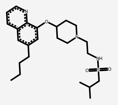 CCCCc1cc(OC2CCN(CCNS(=O)(=O)CC(C)C)CC2)c2ncccc2c1